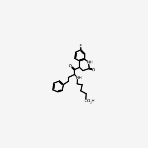 O=C(O)CCCCNC(CCc1ccccc1)C(=O)C1CC(=O)Nc2cc(F)ccc21